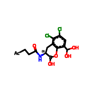 CC(=O)CCC(=O)N[C@H]1Cc2c(Cl)c(Cl)cc(C(O)O)c2OB1O